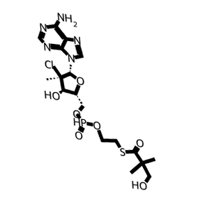 CC(C)(CO)C(=O)SCCO[PH](=O)OC[C@H]1O[C@@H](n2cnc3c(N)ncnc32)[C@](C)(Cl)[C@@H]1O